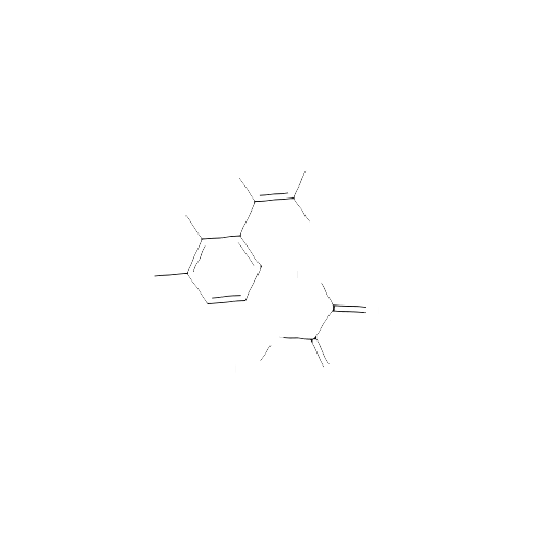 C=C(C)C(=O)OC.FC(F)=C(F)c1cccc(F)c1F